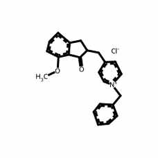 COc1cccc2c1C(=O)C(Cc1cc[n+](Cc3ccccc3)cc1)C2.[Cl-]